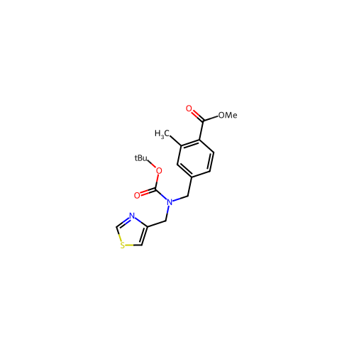 COC(=O)c1ccc(CN(Cc2cscn2)C(=O)OC(C)(C)C)cc1C